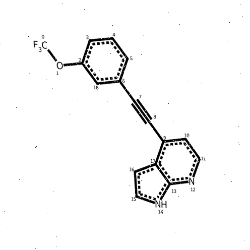 FC(F)(F)Oc1cccc(C#Cc2ccnc3[nH]ccc23)c1